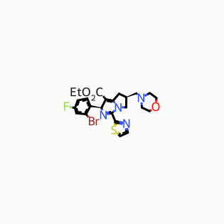 CCOC(=O)C1=C2C[C@@H](CN3CCOCC3)CN2C(c2nccs2)=N[C@H]1c1ccc(F)cc1Br